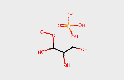 O=P(O)(O)O.OCC(O)C(O)OO